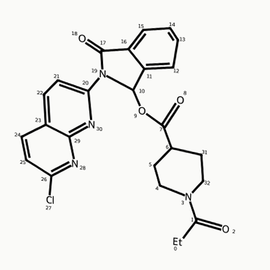 CCC(=O)N1CCC(C(=O)OC2c3ccccc3C(=O)N2c2ccc3ccc(Cl)nc3n2)CC1